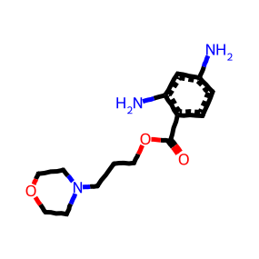 Nc1ccc(C(=O)OCCCN2CCOCC2)c(N)c1